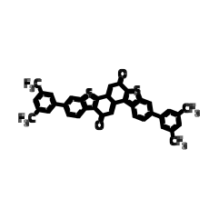 O=C1C=C2C(=CC(=O)c3c2sc2cc(-c4cc(C(F)(F)F)cc(C(F)(F)F)c4)ccc32)c2c1sc1cc(-c3cc(C(F)(F)F)cc(C(F)(F)F)c3)ccc21